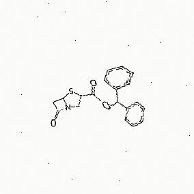 O=C(OC(c1ccccc1)c1ccccc1)C1CN2C(=O)CC2S1